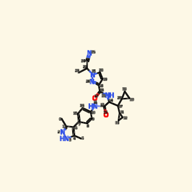 Cc1n[nH]c(C)c1-c1ccc(NC(=O)[C@@H](NC(=O)c2ccn(C(C)C#N)n2)C(C2CC2)C2CC2)cc1